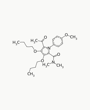 CCCCOc1c(OCCCC)c(C(=O)N(C)C)n(-c2ccc(OC)cc2)c1C(C)=O